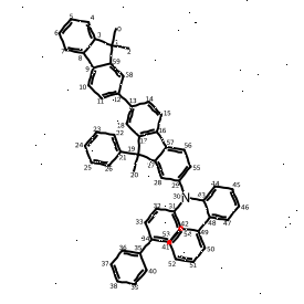 CC1(C)c2ccccc2-c2ccc(-c3ccc4c(c3)C(C)(c3ccccc3)c3cc(N(c5ccc(-c6ccccc6)cc5)c5ccccc5-c5ccccc5)ccc3-4)cc21